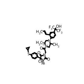 CC=Cc1cc(C(O)(C(F)(F)F)C(F)(F)F)ccc1N1C[C@H](C)N(C(=O)CN2C(=O)N[C@](C)(c3ccc(SC4CC4)cc3)C2=O)CC1C